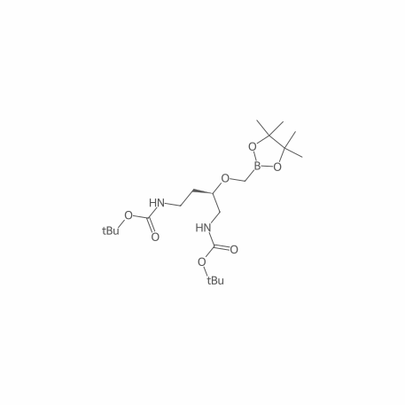 CC(C)(C)OC(=O)NCC[C@H](CNC(=O)OC(C)(C)C)OCB1OC(C)(C)C(C)(C)O1